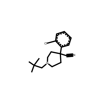 CC(C)(C)CN1CCC(C#N)(c2ccccc2Cl)CC1